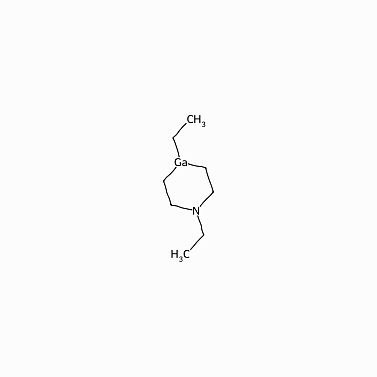 CCN1C[CH2][Ga]([CH2]C)[CH2]C1